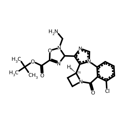 CC(C)(C)OC(=O)C1=NC(c2ncn3c2[C@@H]2CCN2C(=O)c2c(Cl)cccc2-3)N(CN)O1